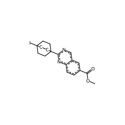 COC(=O)c1ccc2nc(C34CCC(I)(CC3)CC4)ncc2c1